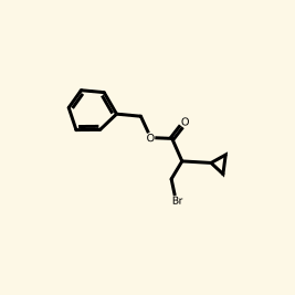 O=C(OCc1ccccc1)C(CBr)C1CC1